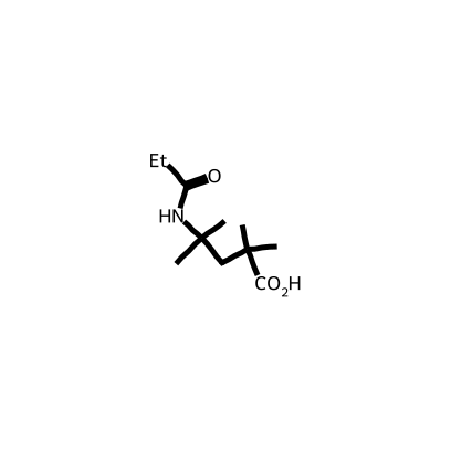 CCC(=O)NC(C)(C)CC(C)(C)C(=O)O